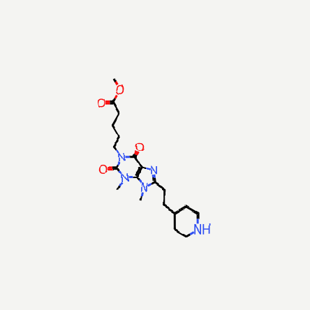 COC(=O)CCCCn1c(=O)c2nc(CCC3CCNCC3)n(C)c2n(C)c1=O